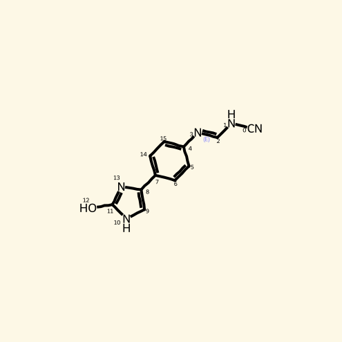 N#CN/C=N/c1ccc(-c2c[nH]c(O)n2)cc1